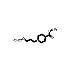 CCCOC(=O)C1CCN(CCCO[C]=O)CC1